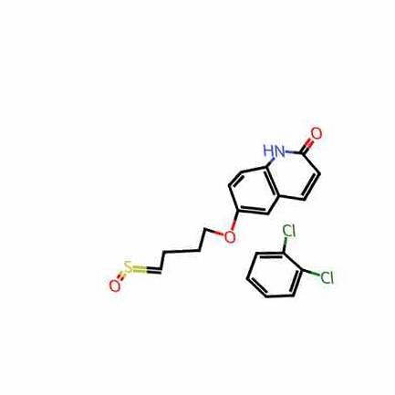 Clc1ccccc1Cl.O=S=CCCCOc1ccc2[nH]c(=O)ccc2c1